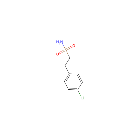 NS(=O)(=O)CCc1ccc(Cl)cc1